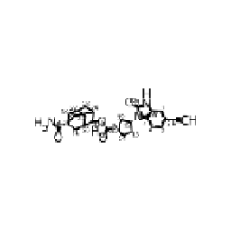 C#Cc1ccc2c(c1)[nH]c(=O)n2[C@@H]1CCN(C(=O)O[C@H]2C3CC4CC2C[C@](C(N)=O)(C4)C3)C1